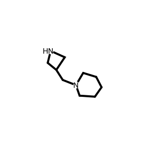 C1CCN(CC2CNC2)CC1